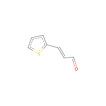 O=C/C=C/c1cccs1